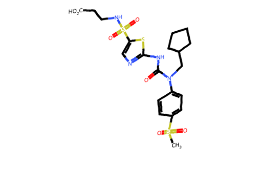 CS(=O)(=O)c1ccc(N(CC2CCCC2)C(=O)Nc2ncc(S(=O)(=O)NCCC(=O)O)s2)cc1